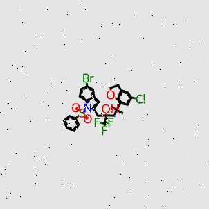 CC(C)(CC(O)(Cc1cc2cc(Br)ccc2n1S(=O)(=O)c1ccccc1)C(F)(F)F)c1cc(Cl)cc2c1OCC2